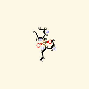 C=C/C=C(\C=C/C)S(=O)(=O)C(/C=C\C)=C/C